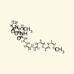 CC/C=C\C/C=C\C/C=C\C/C=C\C/C=C\CCCC(=O)NC(=O)[C@H](CC)N1CCCC1=O